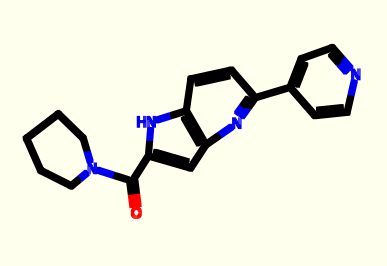 O=C(c1cc2nc(-c3ccncc3)ccc2[nH]1)N1CCCCC1